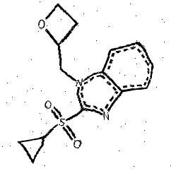 O=S(=O)(c1nc2ccccc2n1CC1CCO1)C1CC1